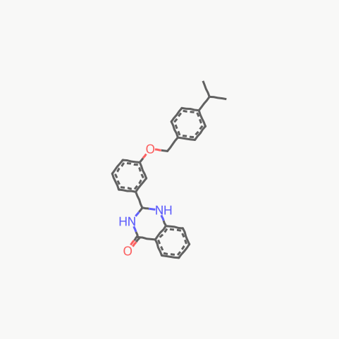 CC(C)c1ccc(COc2cccc(C3NC(=O)c4ccccc4N3)c2)cc1